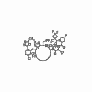 Cc1nnc(-c2ccc(Cl)cc2C[C@H]2C(=O)NCCCCC=CC[C@H](N(C)C(=O)[C@@H](NC(=O)[C@@H]3C[C@@H](F)CN3C(=O)C3(C(F)(F)F)CC(F)(F)C3)C3CC3)C(=O)N[C@@H](CC(C)C)C(=O)N2C)o1